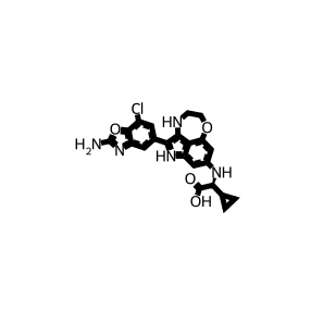 Nc1nc2cc(-c3[nH]c4cc(N[C@H](C(=O)O)C5CC5)cc5c4c3NCCO5)cc(Cl)c2o1